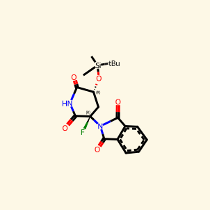 CC(C)(C)[Si](C)(C)O[C@@H]1C[C@](F)(N2C(=O)c3ccccc3C2=O)C(=O)NC1=O